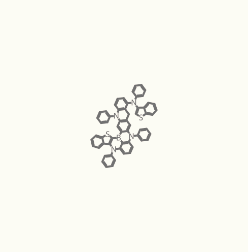 c1ccc(N2c3cc4c(cc3Cc3c2cccc3N(c2ccccc2)c2csc3ccccc23)N(c2ccccc2)c2cccc3c2B4c2sc4ccccc4c2N3c2ccccc2)cc1